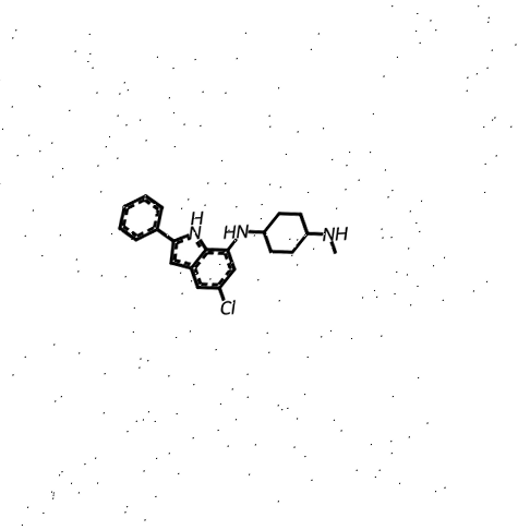 CNC1CCC(Nc2cc(Cl)cc3cc(-c4ccccc4)[nH]c23)CC1